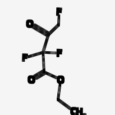 CCOC(=O)C(F)(F)C(=O)CF